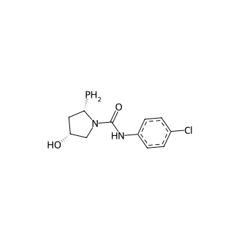 O=C(Nc1ccc(Cl)cc1)N1C[C@H](O)C[C@@H]1P